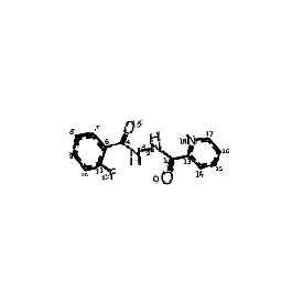 O=C(NNC(=O)c1ccccc1F)c1ccccn1